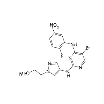 COCCn1cc(Nc2ncc(Br)c(Nc3cc([N+](=O)[O-])ccc3F)n2)cn1